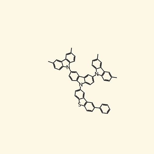 Cc1ccc2c(c1)c1cc(C)ccc1n2-c1ccc2c(c1)c1cc(-n3c4ccc(C)cc4c4cc(C)ccc43)ccc1n2-c1ccc2sc3ccc(-c4ccccc4)cc3c2c1